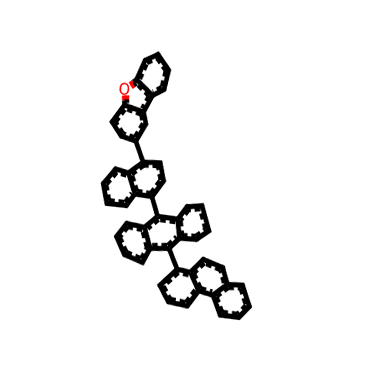 c1ccc2c(c1)ccc1c(-c3c4ccccc4c(-c4ccc(-c5ccc6oc7ccccc7c6c5)c5ccccc45)c4ccccc34)cccc12